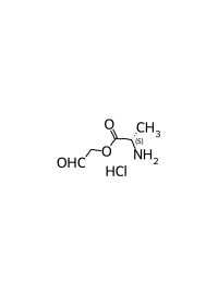 C[C@H](N)C(=O)OCC=O.Cl